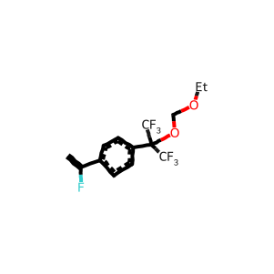 C=C(F)c1ccc(C(OCOCC)(C(F)(F)F)C(F)(F)F)cc1